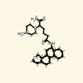 CN1CCN(C(CCCC(=O)Nc2cc3c4ccccc4ccc3c3ccccc23)C(N)=O)CC1